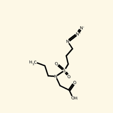 CCCN(CC(=O)O)S(=O)(=O)CCCN=[N+]=[N-]